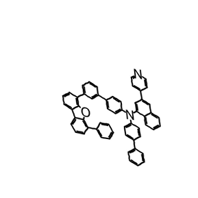 c1ccc(-c2ccc(N(c3ccc(-c4cccc(-c5cccc6c5oc5c(-c7ccccc7)cccc56)c4)cc3)c3cc(-c4ccncc4)cc4ccccc34)cc2)cc1